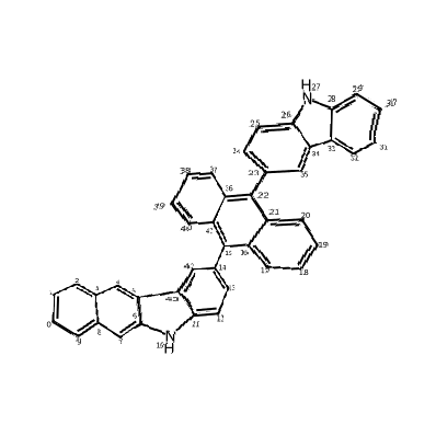 c1ccc2cc3c(cc2c1)[nH]c1ccc(-c2c4ccccc4c(-c4ccc5[nH]c6ccccc6c5c4)c4ccccc24)cc13